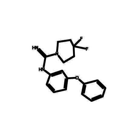 N=C(Nc1cccc(Oc2ccccc2)c1)N1CCC(F)(F)CC1